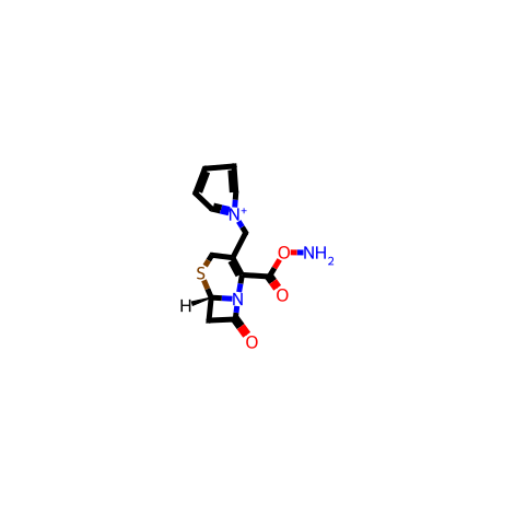 NOC(=O)C1=C(C[n+]2ccccc2)CS[C@H]2CC(=O)N12